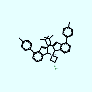 Cc1ccc(-c2cccc3c2C=C(CC(C)C)[CH]3[Hf+2]2([CH]3C(CC(C)C)=Cc4c(-c5ccc(C)cc5)cccc43)[CH2]C[CH2]2)cc1.[Cl-].[Cl-]